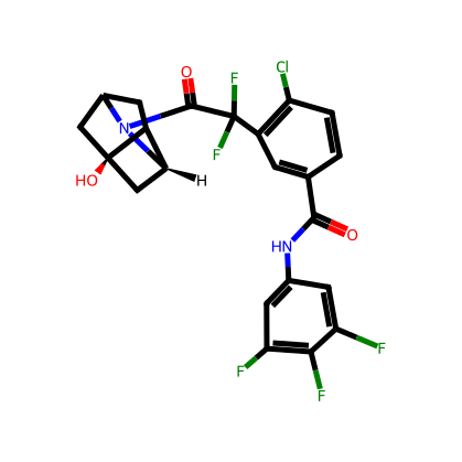 O=C(Nc1cc(F)c(F)c(F)c1)c1ccc(Cl)c(C(F)(F)C(=O)N2C3CC4[C@@H]2C[C@]4(O)C3)c1